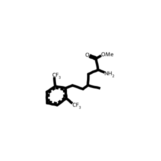 COC(=O)C(N)CC(C)CCc1c(C(F)(F)F)cccc1C(F)(F)F